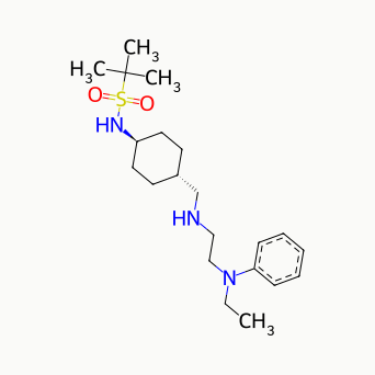 CCN(CCNC[C@H]1CC[C@H](NS(=O)(=O)C(C)(C)C)CC1)c1ccccc1